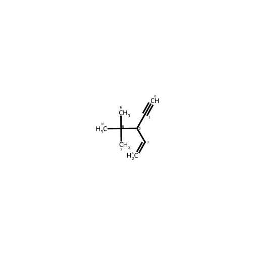 C#CC(C=C)C(C)(C)C